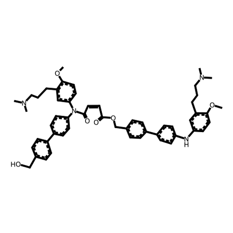 COc1ccc(Nc2ccc(-c3ccc(COC(=O)/C=C\C(=O)N(c4ccc(-c5ccc(CO)cc5)cc4)c4ccc(OC)c(CCCN(C)C)c4)cc3)cc2)cc1CCCN(C)C